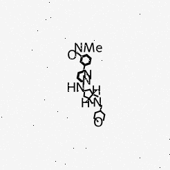 CNC(=O)c1cccc(-c2ccc(NC3C[C@@H]4CN(CC5CCOCC5)C[C@@H]4C3)nn2)c1